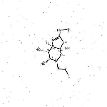 CCNC1=N[C@@H]2[C@@H](O)[C@H](O)[C@H](CCF)O[C@@H]2S1